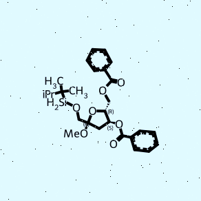 CO[C@]1(CO[SiH2]C(C)(C)C(C)C)C[C@H](OC(=O)c2ccccc2)[C@@H](COC(=O)c2ccccc2)O1